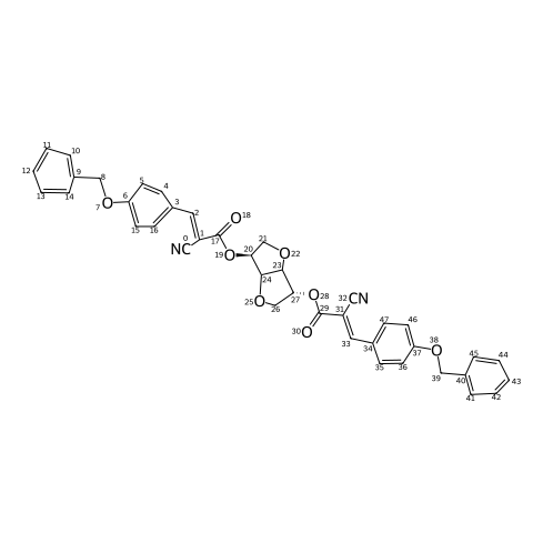 N#C/C(=C\c1ccc(OCc2ccccc2)cc1)C(=O)O[C@H]1COC2C1OC[C@H]2OC(=O)/C(C#N)=C/c1ccc(OCc2ccccc2)cc1